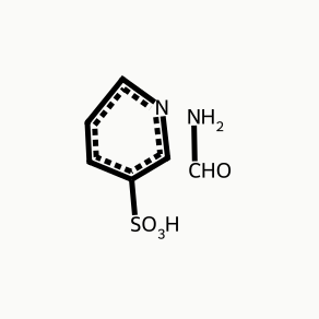 NC=O.O=S(=O)(O)c1cccnc1